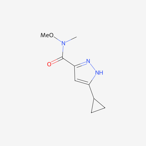 CON(C)C(=O)c1cc(C2CC2)[nH]n1